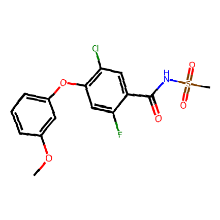 COc1cccc(Oc2cc(F)c(C(=O)NS(C)(=O)=O)cc2Cl)c1